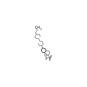 CCC[C@H]1CC[C@H]([C@H]2CC[C@H](c3ccc4c(c3)CCC(C(F)(F)F)O4)CC2)CC1